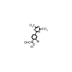 CCON(C=O)c1ccc(-c2nc(C(Cl)(Cl)Cl)nc(C(Cl)(Cl)Cl)n2)cc1Br